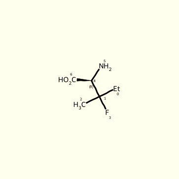 CCC(C)(F)[C@H](N)C(=O)O